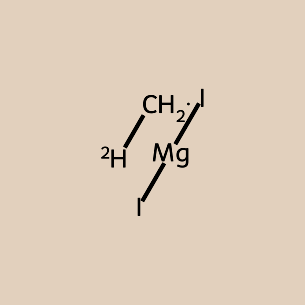 [2H][CH2].[I][Mg][I]